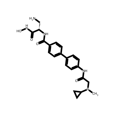 CN(CC(=O)Nc1ccc(-c2ccc(C(=O)N[C@@H](CN)C(=O)NO)cc2)cc1)C1CC1